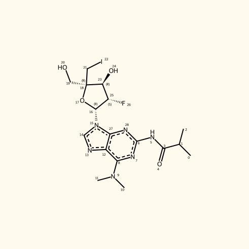 CC(C)C(=O)Nc1nc(N(C)C)c2ncn([C@@H]3O[C@@](CO)(CI)[C@@H](O)[C@@H]3F)c2n1